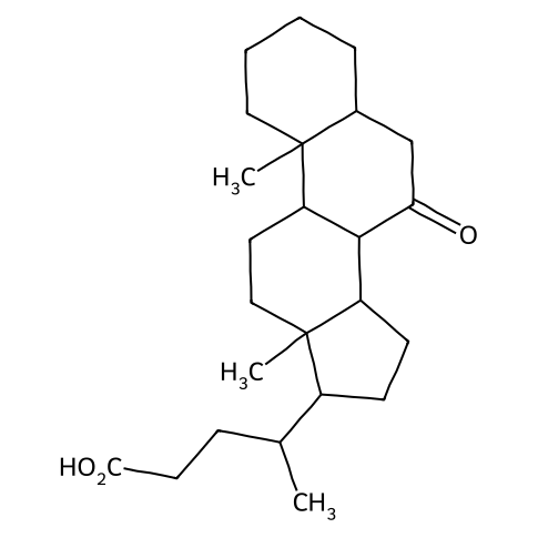 CC(CCC(=O)O)C1CCC2C3C(=O)CC4CCCCC4(C)C3CCC12C